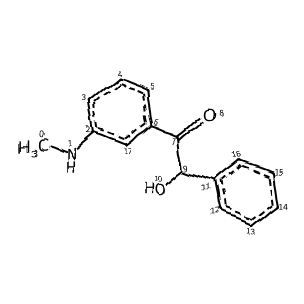 CNc1cccc(C(=O)C(O)c2ccccc2)c1